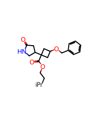 CC(C)CCOC(=O)C1(C2CNC(=O)C2)CC(OCc2ccccc2)C1